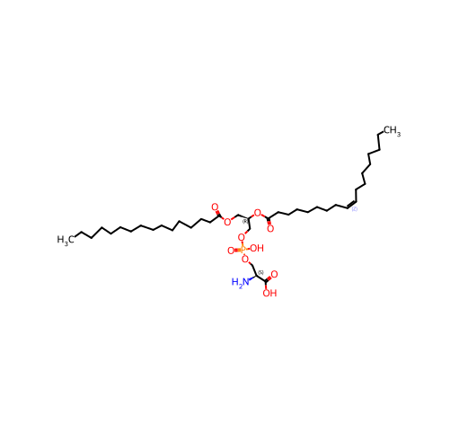 CCCCCCCC/C=C\CCCCCCCC(=O)O[C@H](COC(=O)CCCCCCCCCCCCCCC)COP(=O)(O)OC[C@H](N)C(=O)O